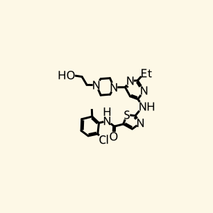 CCc1nc(Nc2ncc(C(=O)Nc3c(C)cccc3Cl)s2)cc(N2CCN(CCO)CC2)n1